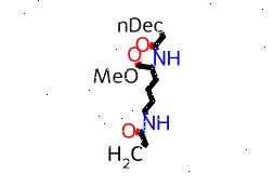 C=CC(=O)NCCCCC(NC(=O)CCCCCCCCCCC)C(=O)OC